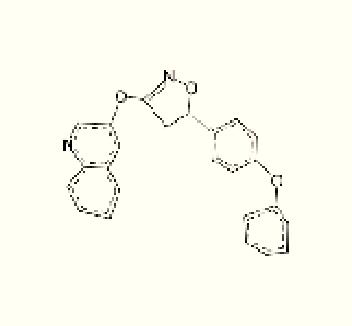 c1ccc(Oc2ccc([C@@H]3CC(Oc4cnc5ccccc5c4)=NO3)cc2)cc1